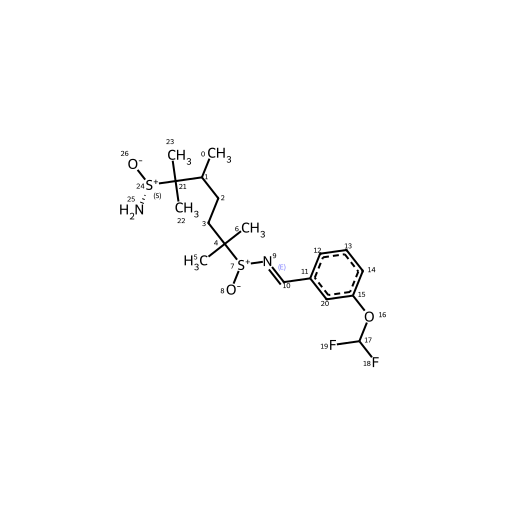 CC(CCC(C)(C)[S+]([O-])/N=C/c1cccc(OC(F)F)c1)C(C)(C)[S@+](N)[O-]